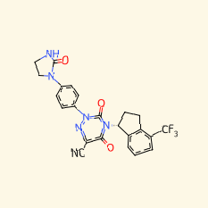 N#Cc1nn(-c2ccc(N3CCNC3=O)cc2)c(=O)n([C@@H]2CCc3c2cccc3C(F)(F)F)c1=O